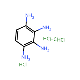 Cl.Cl.Cl.Cl.Nc1ccc(N)c(N)c1N